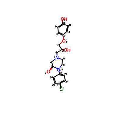 O=C1CN(C[C@H](O)COc2ccc(O)cc2)CCN1c1ccc(Cl)cc1